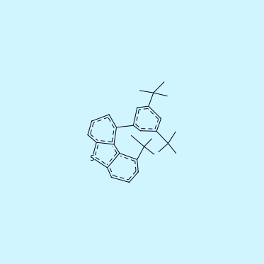 CC(C)(C)c1cc(-c2cccc3sc4cccc(C(C)(C)C)c4c23)cc(C(C)(C)C)c1